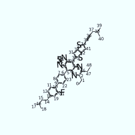 CCc1nc2c(-c3ccc(-c4ccc(CCC(C)C)cc4F)cc3)c3nsnc3c(-c3cc4sc(C#CCC(C)C)cc4s3)c2nc1CC